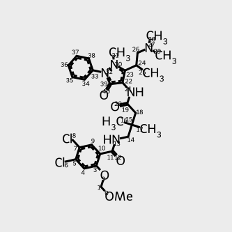 COCOc1cc(Cl)c(Cl)cc1C(=O)NCC(C)(C)CC(=O)Nc1c(C(C)CN(C)C)n(C)n(-c2ccccc2)c1=O